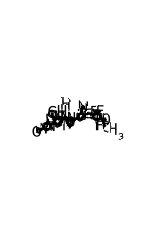 COc1nc(Nc2nccc(-c3ccc(OC4CCN(C(=O)C(C)F)CC4(F)F)c(C#N)c3)n2)ccc1N1CCN(C2COC2)CC1